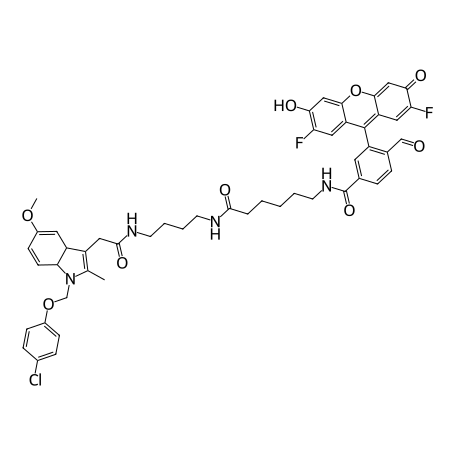 COC1=CC2C(CC(=O)NCCCCNC(=O)CCCCCNC(=O)c3ccc(C=O)c(-c4c5cc(F)c(=O)cc-5oc5cc(O)c(F)cc45)c3)=C(C)N(COc3ccc(Cl)cc3)C2C=C1